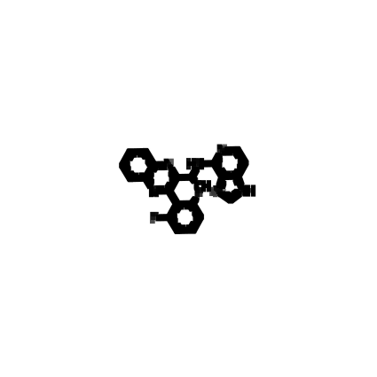 CC(Nc1nccc2[nH]cnc12)c1nc2ccccc2nc1-c1c(F)cccc1F